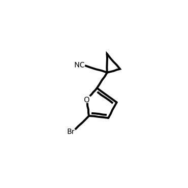 N#CC1(c2ccc(Br)o2)CC1